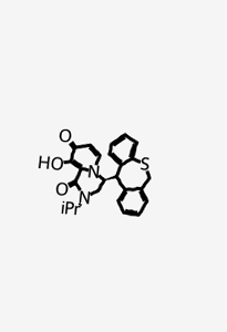 CC(C)N1C[C@H](C2c3ccccc3CSc3ccccc32)n2ccc(=O)c(O)c2C1=O